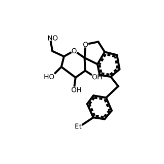 CCc1ccc(Cc2ccc3c(c2)C2(OC3)OC(CN=O)C(O)C(O)C2O)cc1